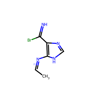 C/C=N\c1[nH]cnc1C(=N)Br